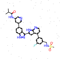 CC(C)C(=O)Nc1cncc(-c2ccc3[nH]nc(-c4cc5c(-c6cc(F)cc(CNS(C)(=O)=O)c6)ccnc5[nH]4)c3c2)c1